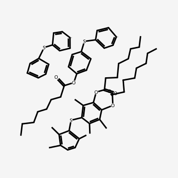 CCCCCCCC(=O)Oc1c(C)c(C)c(Sc2c(C)ccc(C)c2C)c(C)c1OC(=O)CCCCCCC.CCCCCCCC(=O)Oc1ccc(Sc2cc[c]cc2)cc1.[c]1ccc(Sc2cc[c]cc2)cc1